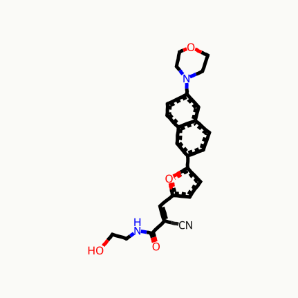 N#C/C(=C\c1ccc(-c2ccc3cc(N4CCOCC4)ccc3c2)o1)C(=O)NCCO